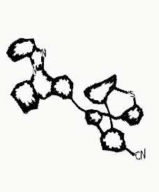 N#Cc1ccc2c(c1)C1(c3ccccc3Sc3ccccc31)c1cc(-c3ccc4c(c3)c3ccccc3n3c5ccccc5nc43)ccc1-2